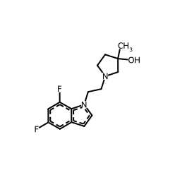 CC1(O)CCN(CCn2ccc3cc(F)cc(F)c32)C1